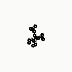 c1ccc(-n2c3ccccc3c3cc(-c4ccc5c(c4)c4cc(-n6c7ccccc7c7ccccc76)ccc4n5-c4nc(-c5cccc6ccccc56)cc(-c5cccc6ccccc56)n4)ccc32)cc1